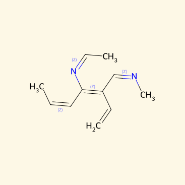 C=CC(/C=N\C)=C(\C=C/C)/N=C\C